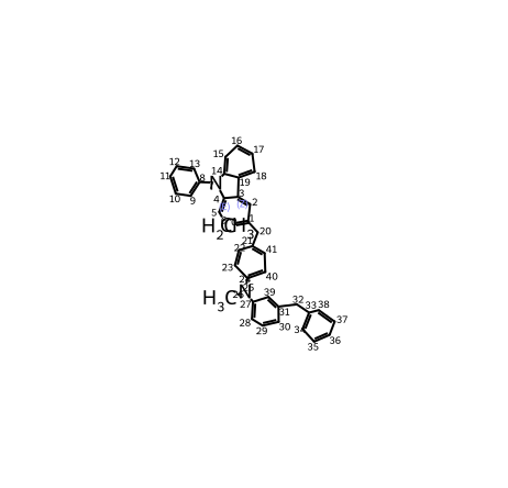 C=C(/C=c1\c(=C/C)n(-c2ccccc2)c2ccccc12)Cc1ccc(N(C)c2cccc(Cc3ccccc3)c2)cc1